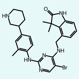 Cc1cc(C2CCCNC2)ccc1Nc1ncc(Br)c(NCc2cccc3c2C(C)(C)C(=O)N3)n1